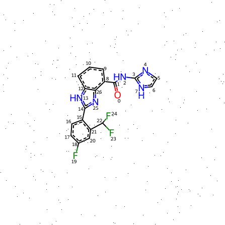 O=C(Nc1ncc[nH]1)c1cccc2[nH]c(-c3ccc(F)cc3C(F)F)nc12